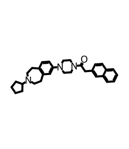 O=C(Cc1ccc2ccccc2c1)N1CCN(c2ccc3c(c2)CCN(C2CCCC2)CC3)CC1